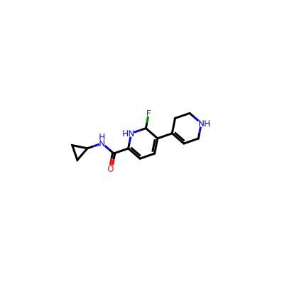 O=C(NC1CC1)C1=CC=C(C2=CCNCC2)C(F)N1